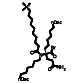 CCCCCCCCCCCCCCCCN(C(=O)CCCCCCCCC[N+](C)(C)C)[C@](CCCCCCCCCCCCCCCC)(CCC(N)=O)C(=O)Br